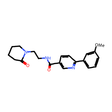 COc1cccc(-c2ccc(C(=O)NCCN3CCCCC3=O)cn2)c1